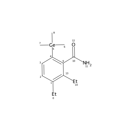 CCc1cc[c]([Ge]([CH3])([CH3])[CH3])c(C(N)=O)c1CC